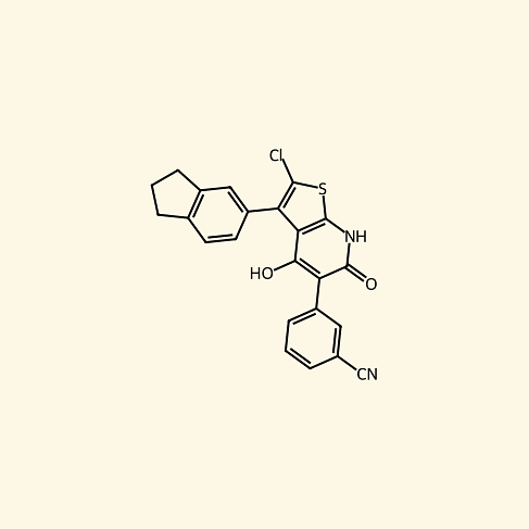 N#Cc1cccc(-c2c(O)c3c(-c4ccc5c(c4)CCC5)c(Cl)sc3[nH]c2=O)c1